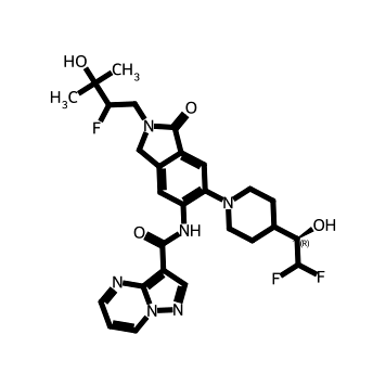 CC(C)(O)C(F)CN1Cc2cc(NC(=O)c3cnn4cccnc34)c(N3CCC([C@@H](O)C(F)F)CC3)cc2C1=O